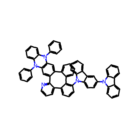 c1ccc(-n2c3ccccc3n(-c3ccccc3)c3cc4c(cc32)c2ccccc2c2c(-n3c5ccccc5c5cc(-n6c7ccccc7c7ccccc76)ccc53)cccc2c2cccnc42)cc1